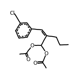 CCCC(=Cc1cccc(Cl)c1)C(OC(C)=O)OC(C)=O